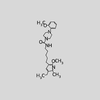 CCc1cc(CCCCCNC(=O)N2CCN(c3ccccc3OC)CC2)c(OC)nc1C